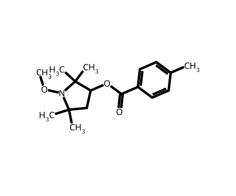 CON1C(C)(C)CC(OC(=O)c2ccc(C)cc2)C1(C)C